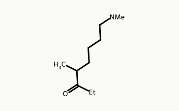 CCC(=O)C(C)CCCCNC